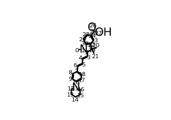 C[N+]1=C(/C=C/C=C/c2ccc(N3CCCCC3)cc2)C(C)(C)c2cc(C(=O)O)ccc21